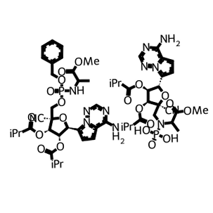 COC(=O)C(C)N(C[C@]1(C#N)O[C@@H](c2ccc3c(N)ncnn23)[C@H](OC(=O)C(C)C)[C@@H]1OC(=O)C(C)C)P(=O)(O)O.COC(=O)C(C)NP(=O)(OCc1ccccc1)OC[C@@]1(C#N)O[C@@H](c2ccc3c(N)ncnn23)[C@H](OC(=O)C(C)C)[C@@H]1OC(=O)C(C)C